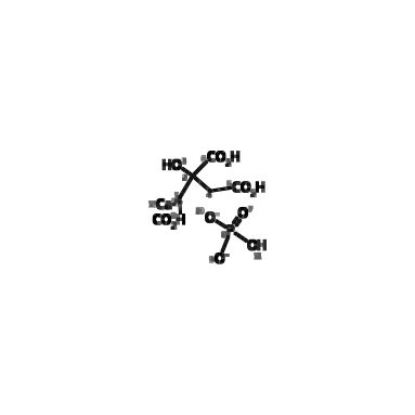 O=C(O)CC(O)(CC(=O)O)C(=O)O.O=P([O-])([O-])O.[Ca+2]